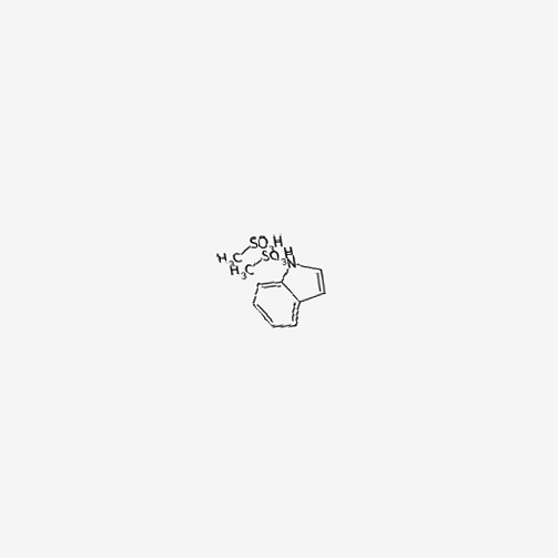 CS(=O)(=O)O.CS(=O)(=O)O.c1ccc2[nH]ccc2c1